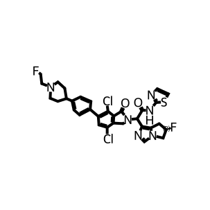 O=C(Nc1nccs1)C(c1ncn2c1C[C@@H](F)C2)N1Cc2c(Cl)cc(-c3ccc(C4CCN(CCF)CC4)cc3)c(Cl)c2C1=O